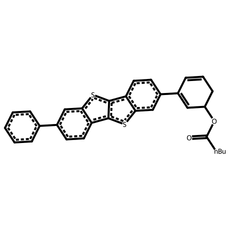 CCCCC(=O)OC1C=C(c2ccc3c(c2)sc2c4ccc(-c5ccccc5)cc4sc32)C=CC1